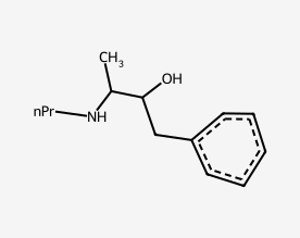 CCCNC(C)C(O)Cc1ccccc1